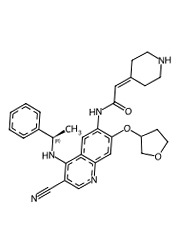 C[C@@H](Nc1c(C#N)cnc2cc(OC3CCOC3)c(NC(=O)C=C3CCNCC3)cc12)c1ccccc1